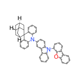 c1ccc2c(c1)N(c1ccc3c(c1)c1ccccc1n3-c1cccc3c1oc1ccccc13)c1ccccc1C21C2C[C@H]3C[C@@H](C2)C[C@@H]1C3